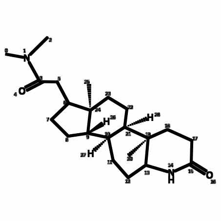 CN(C)C(=O)CC1CC[C@H]2[C@@H]3CCC4NC(=O)CC[C@]4(C)[C@@H]3CC[C@]12C